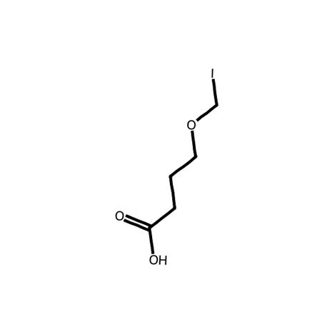 O=C(O)CCCOCI